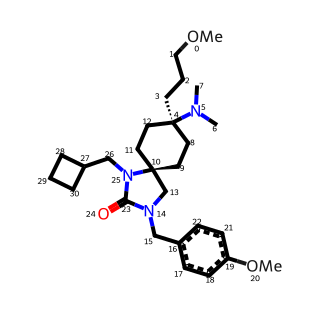 COCCC[C@]1(N(C)C)CC[C@@]2(CC1)CN(Cc1ccc(OC)cc1)C(=O)N2CC1CCC1